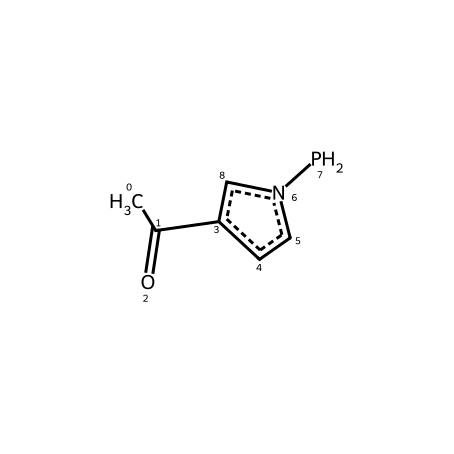 CC(=O)c1ccn(P)c1